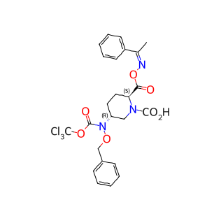 CC(=NOC(=O)[C@@H]1CC[C@@H](N(OCc2ccccc2)C(=O)OC(Cl)(Cl)Cl)CN1C(=O)O)c1ccccc1